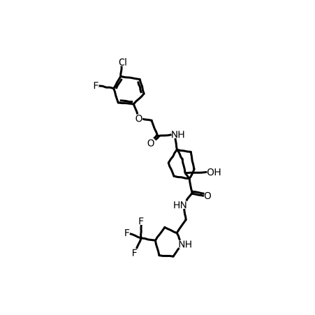 O=C(COc1ccc(Cl)c(F)c1)NC12CCC(C(=O)NCC3CC(C(F)(F)F)CCN3)(CC1)C(O)C2